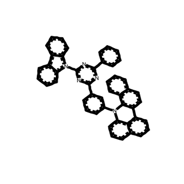 c1ccc(-c2nc(-c3cccc(N4c5c(ccc6ccccc56)-c5cccc6cccc4c56)c3)nc(-n3c4ccccc4c4ccccc43)n2)cc1